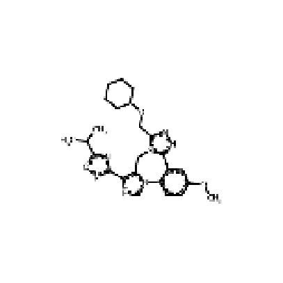 COc1ccc2c(c1)-c1nnc(COC3CCCCC3)n1Cc1c(-c3noc(C(C)C)n3)ncn1-2